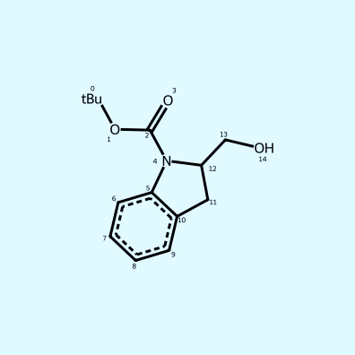 CC(C)(C)OC(=O)N1c2ccccc2CC1CO